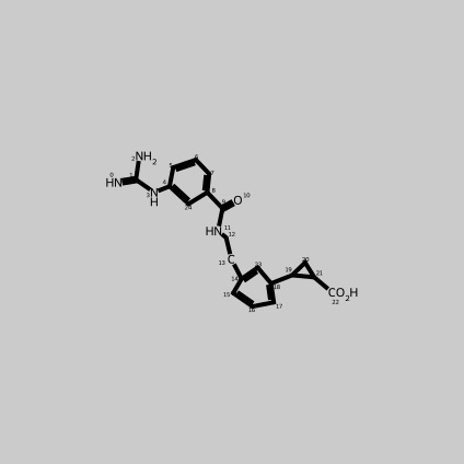 N=C(N)Nc1cccc(C(=O)NCCc2cccc(C3CC3C(=O)O)c2)c1